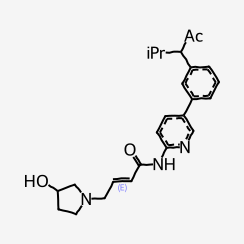 CC(=O)C(c1cccc(-c2ccc(NC(=O)/C=C/CN3CCC(O)C3)nc2)c1)C(C)C